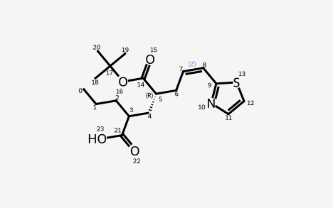 CCCC(C[C@@H](C/C=C\c1nccs1)C(=O)OC(C)(C)C)C(=O)O